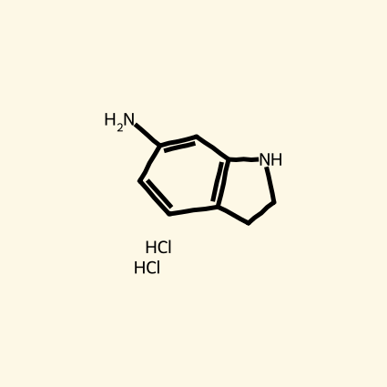 Cl.Cl.Nc1ccc2c(c1)NCC2